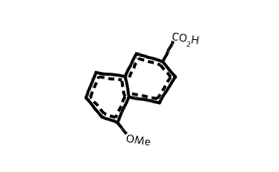 COc1cccc2cc(C(=O)O)ccc12